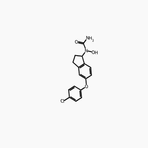 NC(=O)N(O)C1CCc2cc(Oc3ccc(Cl)cc3)ccc21